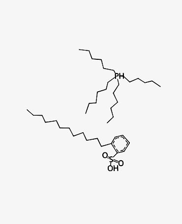 CCCCCCCCCCCCc1ccccc1S(=O)(=O)O.CCCCCC[PH](CCCCCC)(CCCCCC)CCCCCC